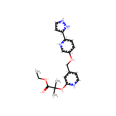 CCOC(=O)C(C)(C)Oc1cc(COc2ccc(-c3ccn[nH]3)nc2)ccn1